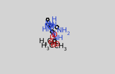 COc1cc(NC(=O)ON2CCC(Nc3nc(N[C@H]4CC[C@H](N)CC4)nc4c3ncn4C3CCCC3)CC2)cc(OC)c1OC